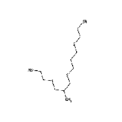 CC(CSCCS)CSCCCSCCS